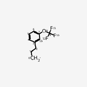 [CH2]CCc1cccc(OC(F)(F)F)c1